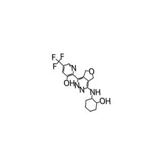 Oc1cc(C(F)(F)F)cnc1-c1nnc(NC2CCCCC2O)c2c1COC2